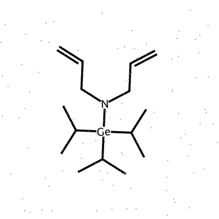 C=CC[N](CC=C)[Ge]([CH](C)C)([CH](C)C)[CH](C)C